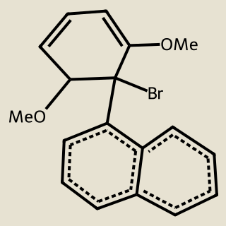 COC1=CC=CC(OC)C1(Br)c1cccc2ccccc12